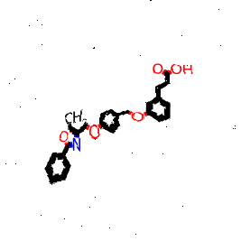 Cc1oc(-c2ccccc2)nc1COc1ccc(COc2cccc(CCC(=O)O)c2)cc1